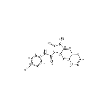 CCN1C(=O)C(C(=O)Nc2ccc(F)cc2)C2C=C3OC=CC=C3C=C21